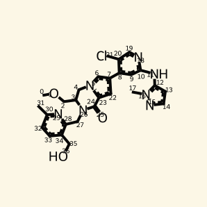 COCC1Cn2cc(-c3cc(Nc4ccnn4C)ncc3Cl)cc2C(=O)N1Cc1nc(C)ccc1CO